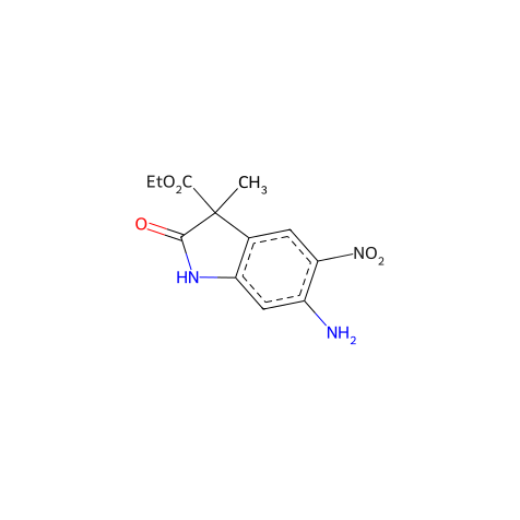 CCOC(=O)C1(C)C(=O)Nc2cc(N)c([N+](=O)[O-])cc21